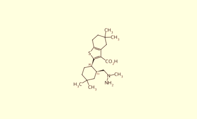 CN(N)C[C@H]1CC(C)(C)CC[C@H]1c1sc2c(c1C(=O)O)CC(C)(C)CC2